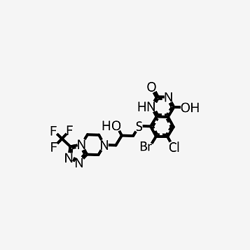 O=c1nc(O)c2cc(Cl)c(Br)c(SCC(O)CN3CCn4c(nnc4C(F)(F)F)C3)c2[nH]1